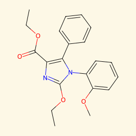 CCOC(=O)c1nc(OCC)n(-c2ccccc2OC)c1-c1ccccc1